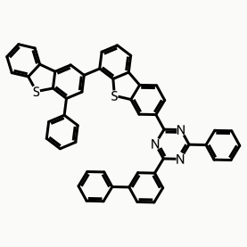 c1ccc(-c2cccc(-c3nc(-c4ccccc4)nc(-c4ccc5c(c4)sc4c(-c6cc(-c7ccccc7)c7sc8ccccc8c7c6)cccc45)n3)c2)cc1